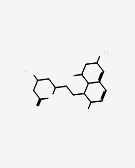 CC1C=C2C=CC(C)C(CCC3CC(O)CC(=O)O3)C2C(O)C1